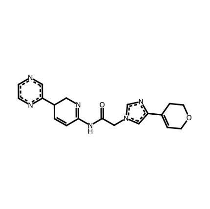 O=C(Cn1cnc(C2=CCOCC2)c1)NC1=NCC(c2cnccn2)C=C1